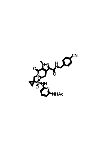 CC(=O)Nc1cccc(NS(=O)(=O)C2(CN3CCc4c(C(=O)NCc5ccc(C#N)cc5)nn(C)c4C3=O)CC2)n1